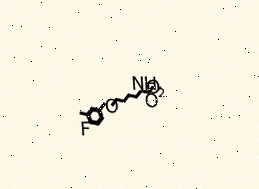 COC(=O)C(N)CCCCOCc1ccc(F)c(C)c1